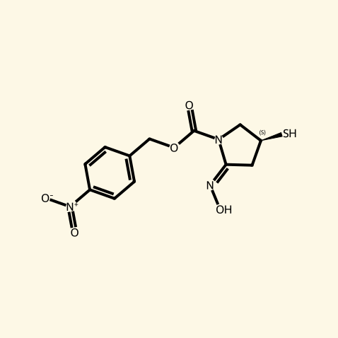 O=C(OCc1ccc([N+](=O)[O-])cc1)N1C[C@@H](S)CC1=NO